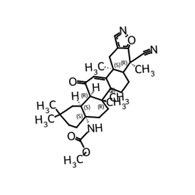 COC(=O)N[C@]12CCC(C)(C)C[C@H]1[C@H]1C(=O)C=C3[C@@]4(C)Cc5cnoc5[C@@](C)(C#N)C4CC[C@@]3(C)[C@]1(C)CC2